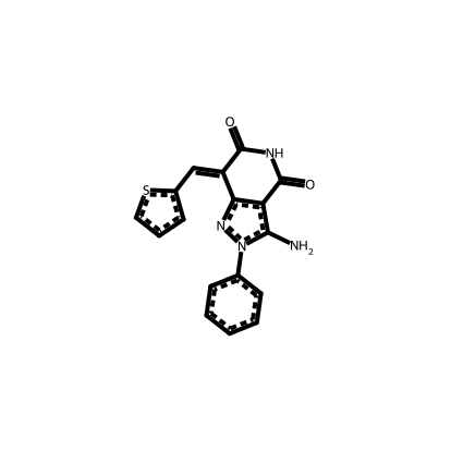 Nc1c2c(nn1-c1ccccc1)/C(=C\c1cccs1)C(=O)NC2=O